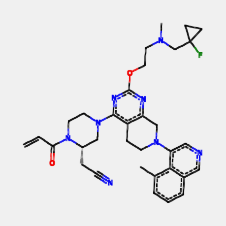 C=CC(=O)N1CCN(c2nc(OCCN(C)CC3(F)CC3)nc3c2CCN(c2cncc4cccc(C)c24)C3)C[C@@H]1CC#N